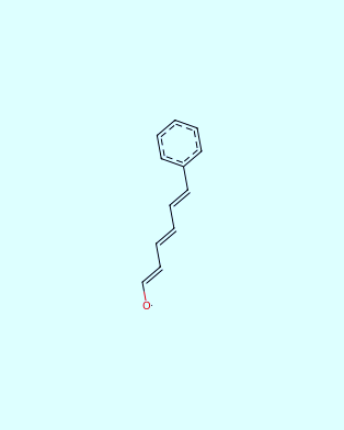 [O]/C=C/C=C/C=C/c1ccccc1